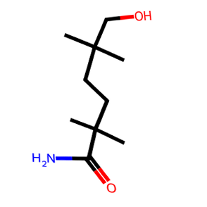 CC(C)(CO)CCC(C)(C)C(N)=O